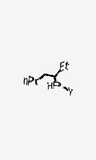 CCCCC(CC)[PH][Y]